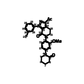 COc1cc(N2CCCCC2=O)ccc1N1CCc2c(C(C)=O)nn(-c3cccc(F)c3)c2C1=O